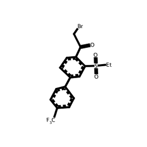 CCS(=O)(=O)c1cc(-c2ccc(C(F)(F)F)cc2)ccc1C(=O)CBr